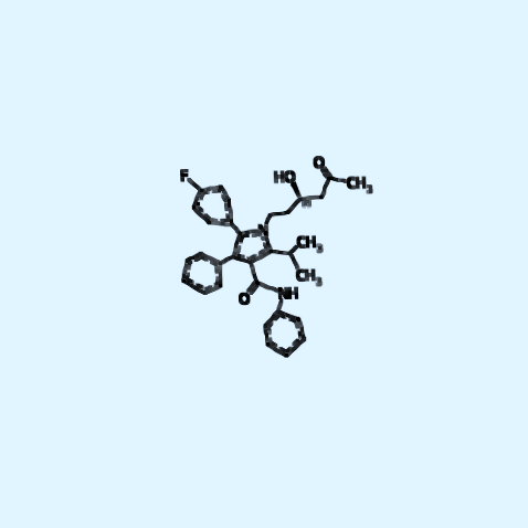 CC(=O)C[C@H](O)CCn1c(-c2ccc(F)cc2)c(-c2ccccc2)c(C(=O)Nc2ccccc2)c1C(C)C